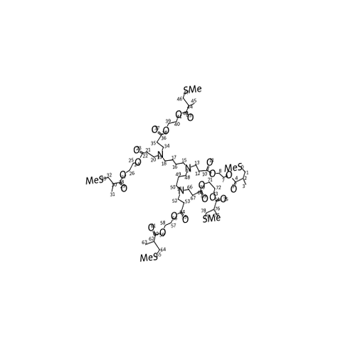 CSCC(C)C(=O)OCCOC(=O)CCN(CCCCN(CCC(=O)OCCOC(=O)C(C)CSC)CCC(=O)OCCOC(=O)C(C)CSC)CCCN(CCC(=O)OCCOC(=O)C(C)CSC)CCC(=O)OCCOC(=O)C(C)CSC